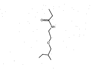 CCC(=O)NCCOCC(C)CC